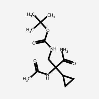 CC(=O)NC(CNC(=O)OC(C)(C)C)(C(N)=O)C1CC1